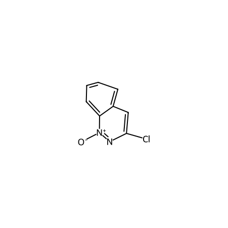 [O-][n+]1nc(Cl)cc2ccccc21